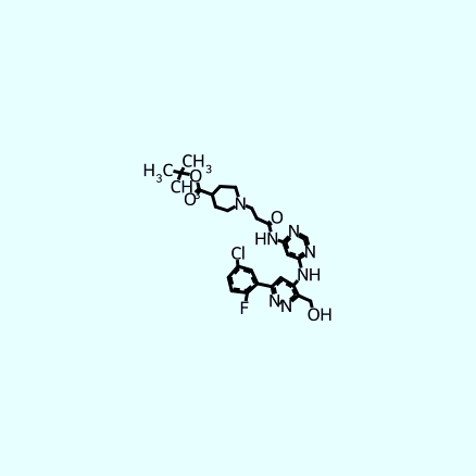 CC(C)(C)OC(=O)C1CCN(CCC(=O)Nc2cc(Nc3cc(-c4cc(Cl)ccc4F)nnc3CO)ncn2)CC1